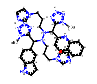 CCCCn1nnnc1C(c1ccc2[nH]ccc2c1)N(CCCn1ccnc1)N(CCCn1ccnc1)C(c1ccc2ccccc2n1)c1nnnn1CCCC